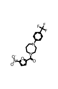 O=C(c1ccc([N+](=O)[O-])o1)N1CCCN(c2ccc(C(F)(F)F)cc2)CC1